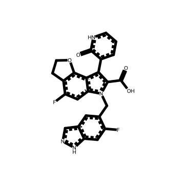 O=C(O)c1c(-c2ccc[nH]c2=O)c2c3c(c(F)cc2n1Cc1cc2cn[nH]c2cc1F)CCO3